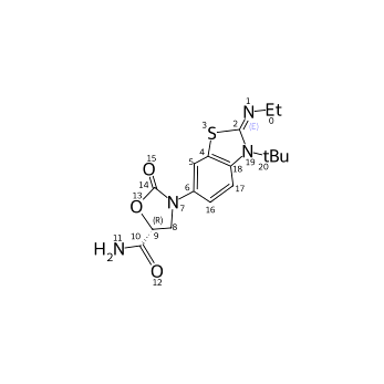 CC/N=c1/sc2cc(N3C[C@H](C(N)=O)OC3=O)ccc2n1C(C)(C)C